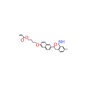 C=CC(=O)OCCCCOc1ccc2cc(C(=O)Cc3ccc(C)cc3C=N)ccc2c1